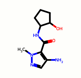 Cn1ncc(N)c1C(=O)NC1CCCC1O